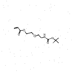 C=CC(=O)OCCOCCNC(=O)OC(C)(C)C